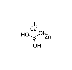 OB(O)O.[CaH2].[Zn]